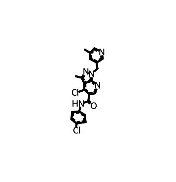 Cc1cncc(Cn2nc(C)c3c(Cl)c(C(=O)Nc4ccc(Cl)cc4)cnc32)c1